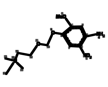 COc1cc(N)c([N+](=O)[O-])cc1OCOCC[Si](C)(C)C